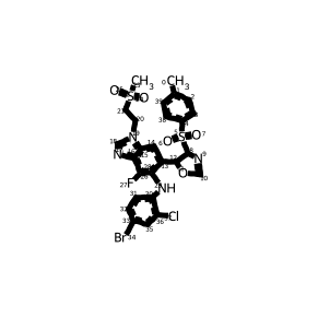 Cc1ccc(S(=O)(=O)C2N=COC2c2cc3c(ncn3CCS(C)(=O)=O)c(F)c2Nc2ccc(Br)cc2Cl)cc1